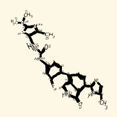 Cc1cnc(-c2ccc(-c3ccc(NC(=O)Nc4sc(N(C)C)nc4C)cc3F)c3c2C(=O)NC3)[nH]1